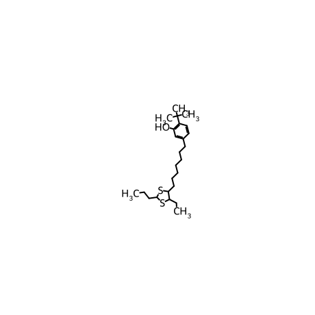 CCCC1SC(CC)C(CCCCCCCc2ccc(C(C)(C)C)c(O)c2)S1